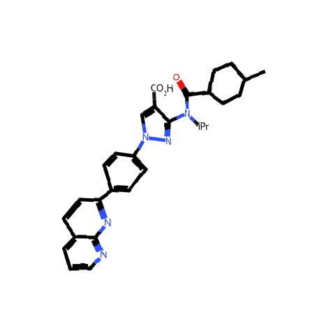 CC1CCC(C(=O)N(c2nn(-c3ccc(-c4ccc5cccnc5n4)cc3)cc2C(=O)O)C(C)C)CC1